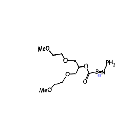 COCCOCC(COCCOC)OC(=O)/B=N/P